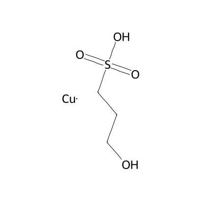 O=S(=O)(O)CCCO.[Cu]